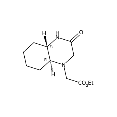 CCOC(=O)CN1CC(=O)N[C@H]2CCCC[C@@H]21